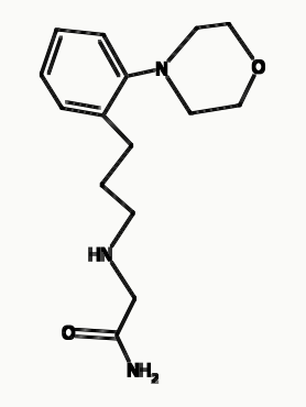 NC(=O)CNCCCc1ccccc1N1CCOCC1